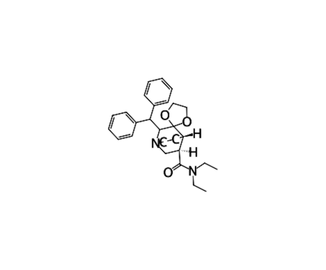 CCN(CC)C(=O)[C@H]1CN2CC[C@@H]1C1(OCCO1)C2C(c1ccccc1)c1ccccc1